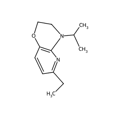 CCc1ccc2c(n1)N(C(C)C)CCO2